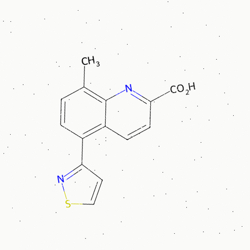 Cc1ccc(-c2ccsn2)c2ccc(C(=O)O)nc12